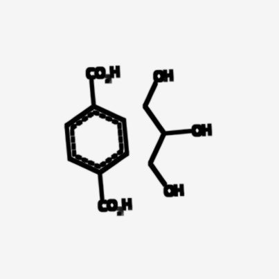 O=C(O)c1ccc(C(=O)O)cc1.OCC(O)CO